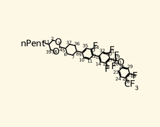 CCCCCC1COC(C2CCC(c3ccc(-c4cc(F)c(C(F)(F)Oc5ccc(C(F)(F)F)c(F)c5)c(F)c4)c(F)c3)CC2)OC1